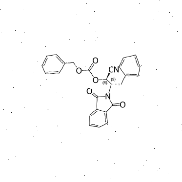 N#C[C@H](OC(=O)OCc1ccccc1)[C@H](Cc1ccccc1)N1C(=O)c2ccccc2C1=O